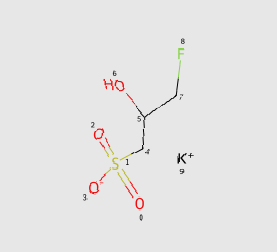 O=S(=O)([O-])CC(O)CF.[K+]